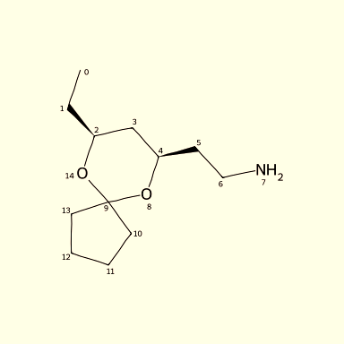 CC[C@H]1C[C@@H](CCN)OC2(CCCC2)O1